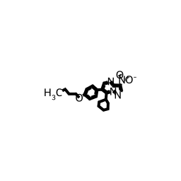 CCCCOc1ccc(-c2cnc3c([N+](=O)[O-])cnn3c2C2CCCCC2)cc1